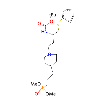 COP(=O)(CCCN1CCN(CCC(CSc2ccccc2)NC(=O)OC(C)(C)C)CC1)OC